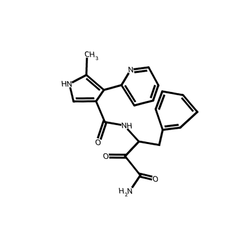 Cc1[nH]cc(C(=O)NC(Cc2ccccc2)C(=O)C(N)=O)c1-c1ccccn1